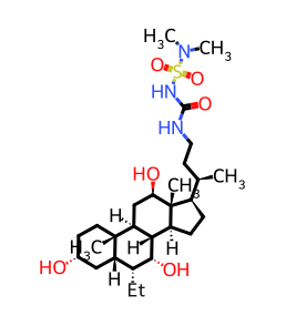 CC[C@H]1[C@@H](O)[C@@H]2[C@H](C[C@@H](O)[C@]3(C)[C@@H]([C@H](C)CCNC(=O)NS(=O)(=O)N(C)C)CC[C@@H]23)[C@@]2(C)CC[C@@H](O)C[C@@H]12